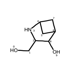 OCC1NC2CC(C2)C1O